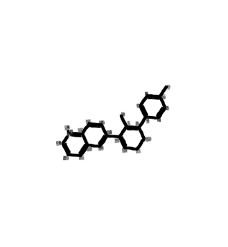 CC1=C(c2ccc(C)cc2)[CH]CC=C1c1ccc2ncccc2c1